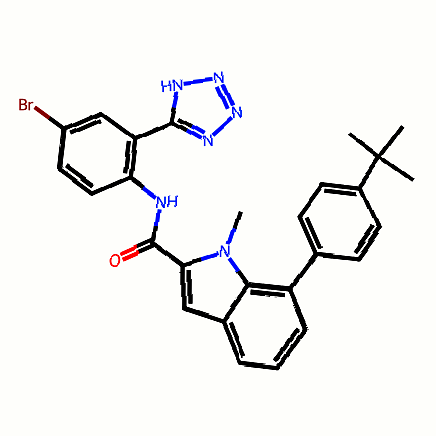 Cn1c(C(=O)Nc2ccc(Br)cc2-c2nnn[nH]2)cc2cccc(-c3ccc(C(C)(C)C)cc3)c21